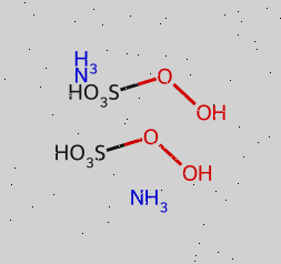 N.N.O=S(=O)(O)OO.O=S(=O)(O)OO